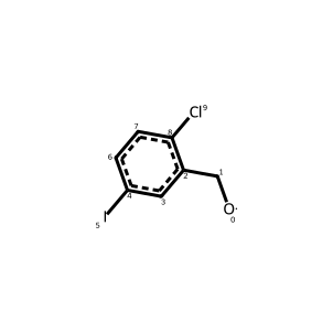 [O]Cc1cc(I)ccc1Cl